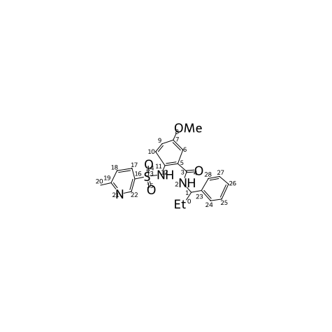 CCC(NC(=O)c1cc(OC)ccc1NS(=O)(=O)c1ccc(C)nc1)c1ccccc1